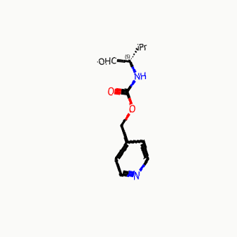 CC(C)[C@@H]([C]=O)NC(=O)OCc1ccncc1